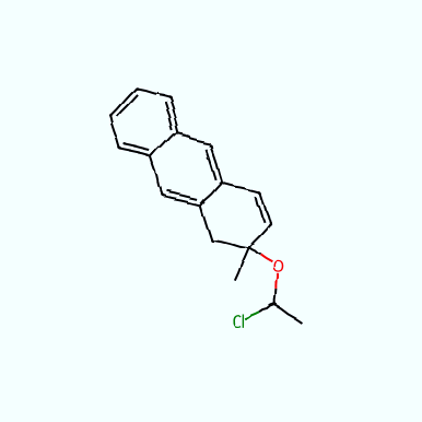 CC(Cl)OC1(C)C=Cc2cc3ccccc3cc2C1